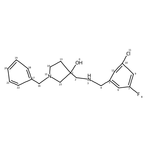 OC1(CNCc2cc(F)cc(Cl)c2)CCN(Cc2ccccc2)C1